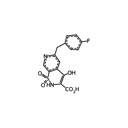 O=C(O)C1=C(O)c2cc(Cc3ccc(F)cc3)ncc2S(=O)(=O)N1